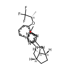 Cc1nsc(N2C[C@H]3CC[C@@H](C2)[C@@H]3Nc2nc3c(O[C@@H](C)C(F)(F)F)cccn3n2)n1